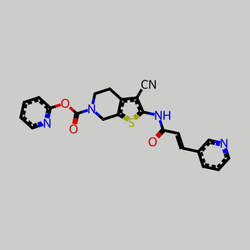 N#Cc1c(NC(=O)/C=C/c2cccnc2)sc2c1CCN(C(=O)Oc1ccccn1)C2